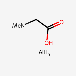 CNCC(=O)O.[AlH3]